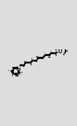 O=C(O)CCCCCCCCCCCC[n+]1ccccc1